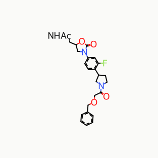 CC(=O)NCC1CN(c2ccc(C3CCN(C(=O)COCc4ccccc4)C3)c(F)c2)C(=O)O1